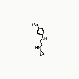 CC(C)(C)c1ccc(NCCNC2CC2)cc1